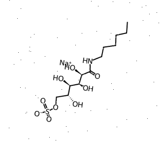 CCCCCCNC(=O)[C@H](O)[C@@H](O)[C@H](O)[C@H](O)COS(=O)(=O)[O-].[Na+]